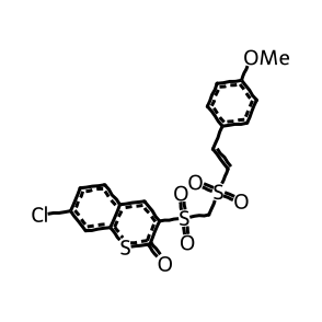 COc1ccc(C=CS(=O)(=O)CS(=O)(=O)c2cc3ccc(Cl)cc3sc2=O)cc1